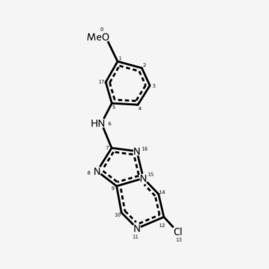 COc1cccc(Nc2nc3cnc(Cl)cn3n2)c1